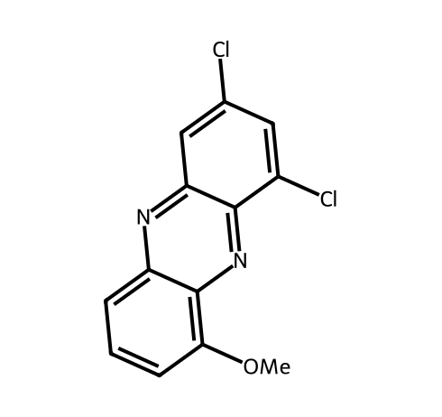 COc1cccc2nc3cc(Cl)cc(Cl)c3nc12